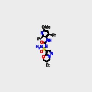 CC[C@@H]1COc2c(S(N)(=O)=NC(=O)Nc3c(C(C)C)cc(OC)nc3C(C)C)cnn2C1